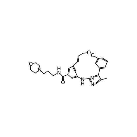 Cc1cnc2nc1-c1cccc(c1)COC/C=C/c1cc(cc(C(=O)NCCCN3CCOCC3)c1)N2